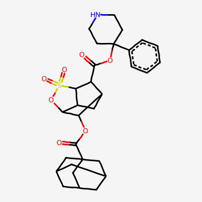 O=C(OC1(c2ccccc2)CCNCC1)C1C2CC3C(OS(=O)(=O)C31)C2OC(=O)C12CC3CC(CC(C3)C1)C2